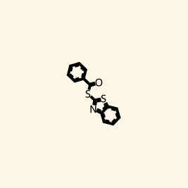 O=C(Sc1nc2ccccc2s1)c1ccccc1